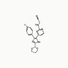 N#CCNc1nccc(-c2[nH]c(C3OCCCO3)nc2-c2ccc(F)cc2)n1